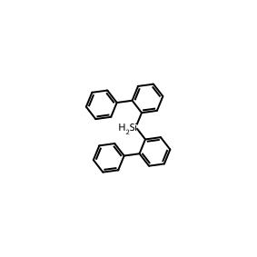 c1ccc(-c2ccccc2[SiH2]c2ccccc2-c2ccccc2)cc1